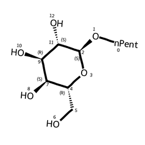 CCCCCO[C@H]1O[C@H](CO)[C@@H](O)[C@@H](O)[C@@H]1O